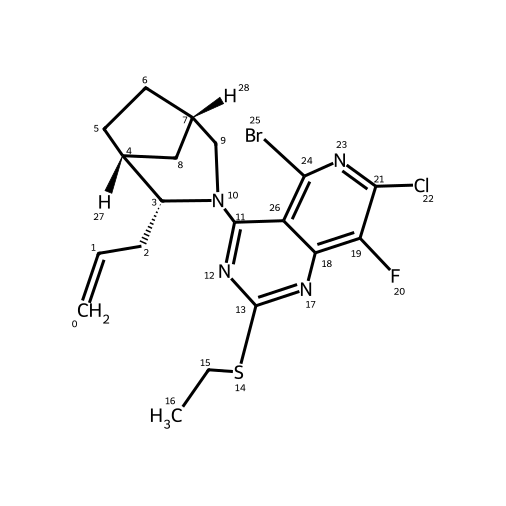 C=CC[C@@H]1[C@@H]2CC[C@@H](C2)CN1c1nc(SCC)nc2c(F)c(Cl)nc(Br)c12